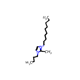 CCCCCCCCCC[n+]1ccn(CCCC)c1C